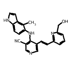 Cc1c(Nc2c(C#N)cncc2/C=C/c2cccc(CO)n2)ccc2[nH]ccc12